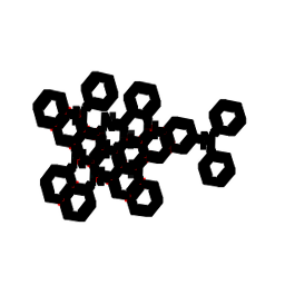 c1ccc(N(c2ccccc2)c2ccc(N(c3ccccc3)c3ccccc3-c3nc(-c4ccccc4N(c4ccccc4)c4ccc(N(c5ccccc5)c5ccccc5)cc4)nc(-c4ccccc4N(c4ccccc4)c4ccc(N(c5ccccc5)c5ccccc5)cc4)n3)cc2)cc1